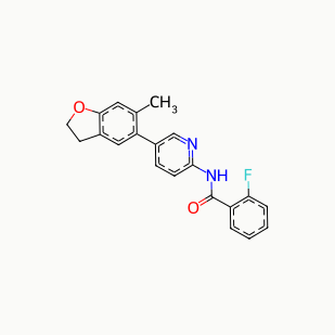 Cc1cc2c(cc1-c1ccc(NC(=O)c3ccccc3F)nc1)CCO2